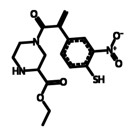 C=C(C(=O)N1CCNC(C(=O)OCC)C1)c1ccc(S)c([N+](=O)[O-])c1